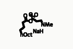 CCCCCCCCCCCC(=O)OS(=O)(=O)CCNC.[NaH]